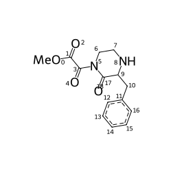 COC(=O)C(=O)N1CCNC(Cc2ccccc2)C1=O